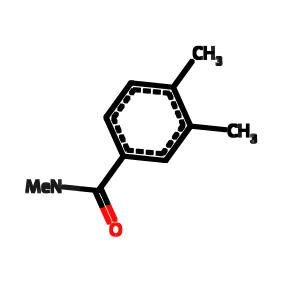 CNC(=O)c1ccc(C)c(C)c1